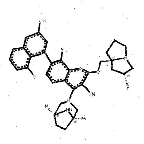 N#Cc1c(OC[C@@]23CCCN2C[C@H](F)C3)nc2c(F)c(-c3cc(O)cc4cccc(F)c34)ccc2c1N1C[C@H]2CC[C@@H](C1)N2